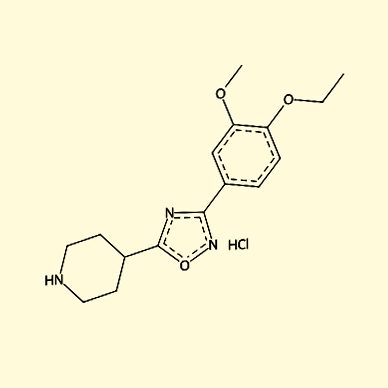 CCOc1ccc(-c2noc(C3CCNCC3)n2)cc1OC.Cl